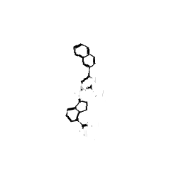 N=C(N)c1cccc2c1CC/C2=N\n1cc(-c2ccc3ccccc3c2)nc1N